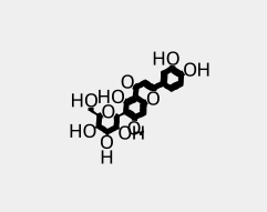 COc1cc2oc(-c3ccc(O)c(O)c3)cc(=O)c2c(O)c1[C@@H]1O[C@H](CO)[C@@H](O)[C@H](O)[C@H]1O